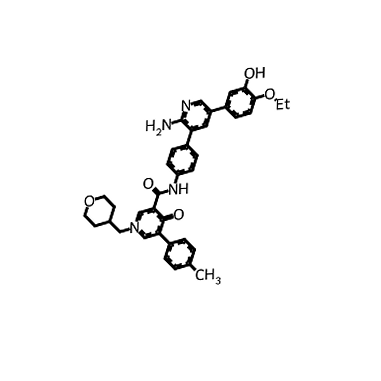 CCOc1ccc(-c2cnc(N)c(-c3ccc(NC(=O)c4cn(CC5CCOCC5)cc(-c5ccc(C)cc5)c4=O)cc3)c2)cc1O